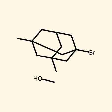 CC12CC3CC(C)(C1)CC(Br)(C3)C2.CO